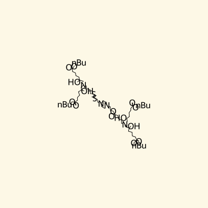 CCCCOC(=O)CCCCC(O)CN(CCCCSSCCN1CCN(CCOC(=O)CCCCN(CC(O)CCCCC(=O)OCCCC)CC(O)CCCCC(=O)OCCCC)CC1)CC(O)CCCCC(=O)OCCCC